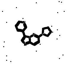 c1cncc(-c2cnc3ccc(N4CCCC4)nn23)c1